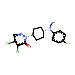 CC(C)N(c1ccc(F)cc1)[C@H]1CC[C@@H](n2ncc(Cl)c(Cl)c2=O)CC1